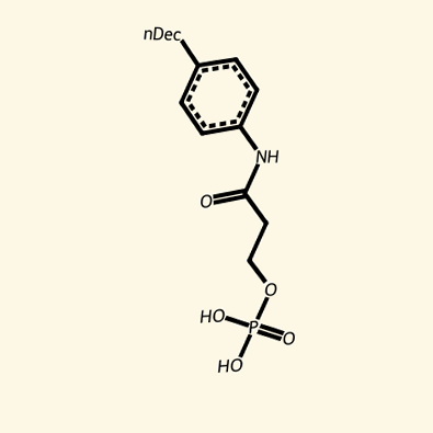 CCCCCCCCCCc1ccc(NC(=O)CCOP(=O)(O)O)cc1